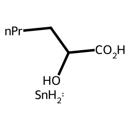 CCCCC(O)C(=O)O.[SnH2]